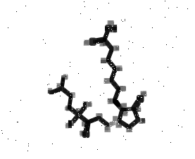 CC(C)CCC(F)(F)C(=O)CC[C@H]1CCC(=O)[C@@H]1CCCCCCC(=O)O